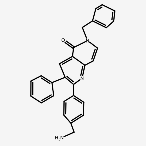 NCc1ccc(-c2nc3ccn(Cc4ccccc4)c(=O)c3cc2-c2ccccc2)cc1